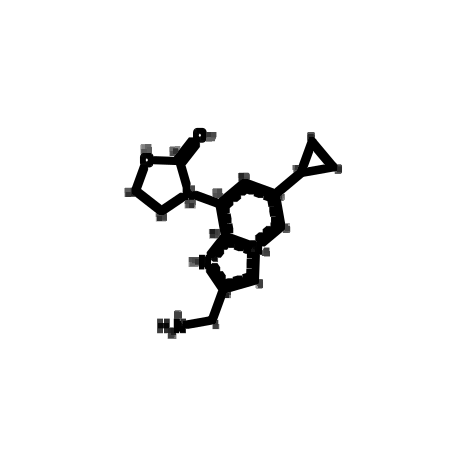 NCc1cn2cc(C3CC3)cc(N3CCOC3=O)c2n1